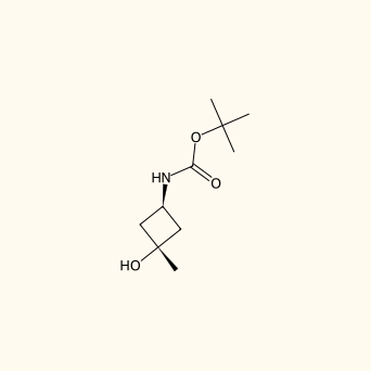 CC(C)(C)OC(=O)N[C@H]1C[C@](C)(O)C1